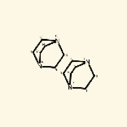 C1CN2CCN1CC2.C1CN2CCN1CC2